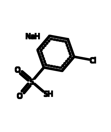 O=S(=O)(S)c1cccc(Cl)c1.[NaH]